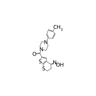 Cc1ccc(N2CCN(C(=O)c3cc4c(s3)SCCC4=NO)CC2)cc1